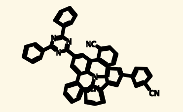 N#Cc1cccc(-c2ccc3c(c2)c2ccccc2n3-c2c(-c3ccccc3C#N)cc(-c3nc(-c4ccccc4)nc(-c4ccccc4)n3)cc2-c2ccccc2C#N)c1